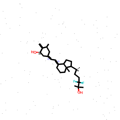 C=C1C(C)C/C(=C\C=C2/CCCC3(C)C2CCC3[C@H](C)CCC(F)(F)C(C)(C)O)C[C@H]1O